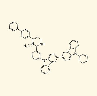 CN1C(c2ccc(-c3ccccc3)cc2)=CCNC1c1cccc(-n2c3ccccc3c3cc(-c4ccc5c(c4)c4ccccc4n5-c4ccccc4)ccc32)c1